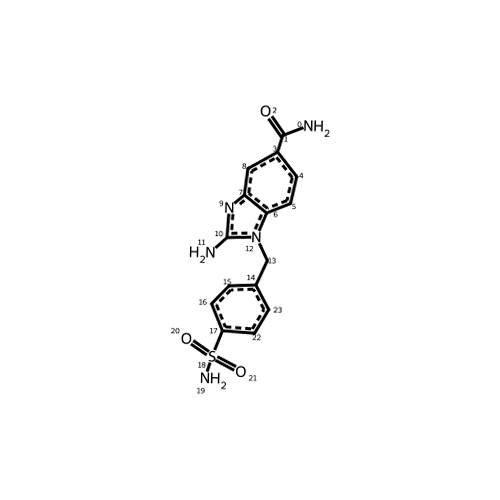 NC(=O)c1ccc2c(c1)nc(N)n2Cc1ccc(S(N)(=O)=O)cc1